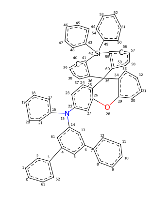 c1ccc(-c2cc(-c3ccccc3)cc(N(c3ccccc3)c3ccc4c(c3)Oc3ccccc3C43c4ccccc4[Si](c4ccccc4)(c4ccccc4)c4ccccc43)c2)cc1